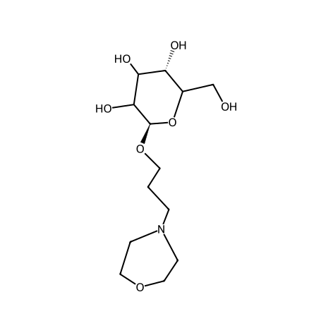 OCC1O[C@@H](OCCCN2CCOCC2)C(O)C(O)[C@@H]1O